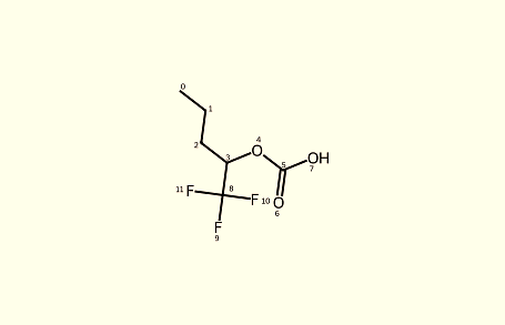 CCCC(OC(=O)O)C(F)(F)F